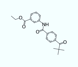 CCOC(=O)c1cccc(NC(=O)c2ccc(C(=O)C(C)(C)C)cc2)c1